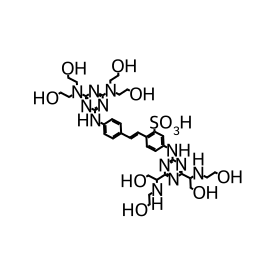 O=S(=O)(O)c1cc(Nc2nc(C(CO)NCCO)nc(C(CO)NCCO)n2)ccc1C=Cc1ccc(Nc2nc(N(CCO)CCO)nc(N(CCO)CCO)n2)cc1